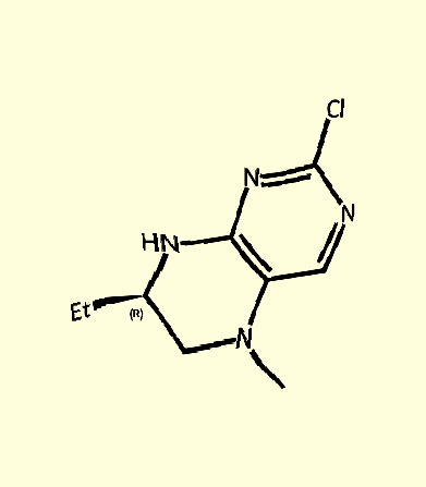 CC[C@@H]1CN(C)c2cnc(Cl)nc2N1